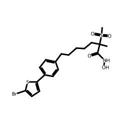 CC(CCCCCc1ccc(-c2ccc(Br)s2)cc1)(C(=O)NO)S(C)(=O)=O